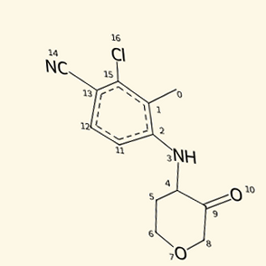 Cc1c(NC2CCOCC2=O)ccc(C#N)c1Cl